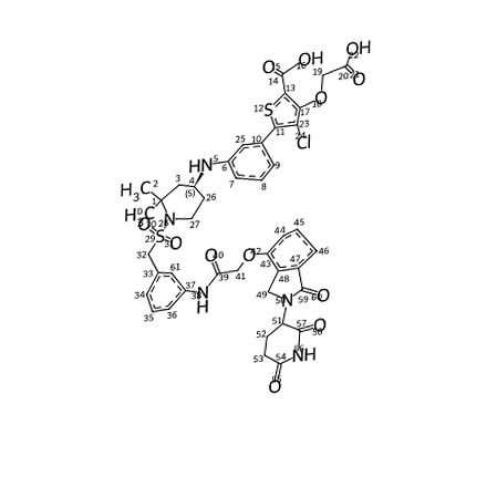 CC1(C)C[C@@H](Nc2cccc(-c3sc(C(=O)O)c(OCC(=O)O)c3Cl)c2)CCN1S(=O)(=O)Cc1cccc(NC(=O)COc2cccc3c2CN(C2CCC(=O)NC2=O)C3=O)c1